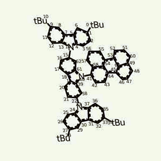 CC(C)(C)c1ccc2c(c1)c1cc(C(C)(C)C)ccc1n2-c1ccc2c3ccc(-n4c5ccc(C(C)(C)C)cc5c5cc(C(C)(C)C)ccc54)cc3n(-c3ccc4c5cccc6cccc(c7cccc3c74)c65)c2c1